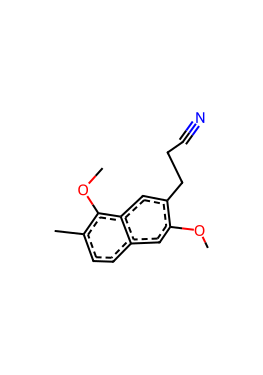 COc1cc2ccc(C)c(OC)c2cc1CCC#N